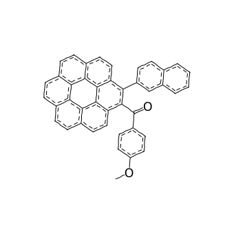 COc1ccc(C(=O)c2c(-c3ccc4ccccc4c3)c3ccc4ccc5ccc6ccc7ccc2c2c7c6c5c4c32)cc1